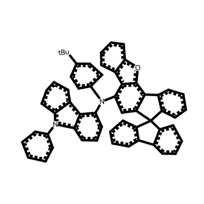 CC(C)(C)c1ccc(N(c2cc3c(c4oc5ccccc5c24)-c2ccccc2C32c3ccccc3-c3ccccc32)c2cccc3c2c2ccccc2n3-c2ccccc2)cc1